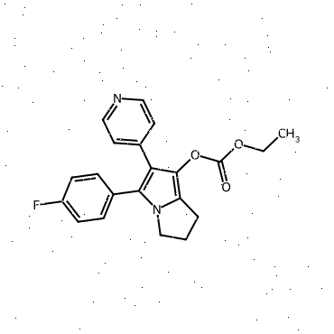 CCOC(=O)Oc1c(-c2ccncc2)c(-c2ccc(F)cc2)n2c1CCC2